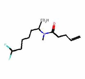 C=CCCC(=O)N(C)C(CCCCC(F)F)C(=O)O